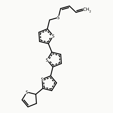 C=C/C=C\SCc1ccc(-c2ccc(-c3ccc(C4CC=CS4)s3)s2)s1